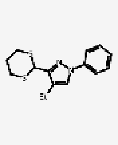 CCc1cn(-c2ccccc2)nc1C1SCCCS1